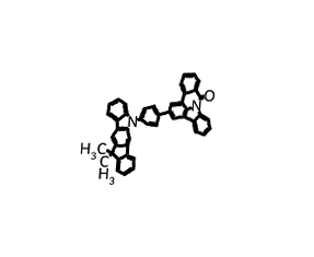 CC1(C)c2ccccc2-c2cc3c(cc21)c1ccccc1n3-c1ccc(-c2cc3c4ccccc4c(=O)n4c5ccccc5c(c2)c34)cc1